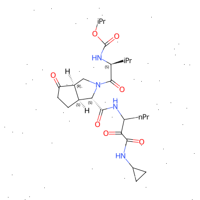 CCCC(NC(=O)[C@@H]1[C@H]2CCC(=O)[C@H]2CN1C(=O)[C@@H](NC(=O)OC(C)C)C(C)C)C(=O)C(=O)NC1CC1